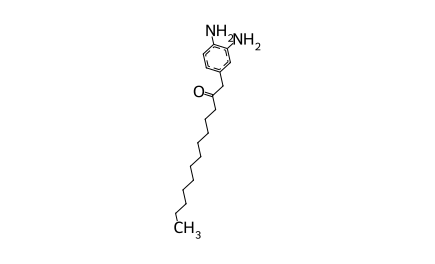 CCCCCCCCCCCC(=O)Cc1ccc(N)c(N)c1